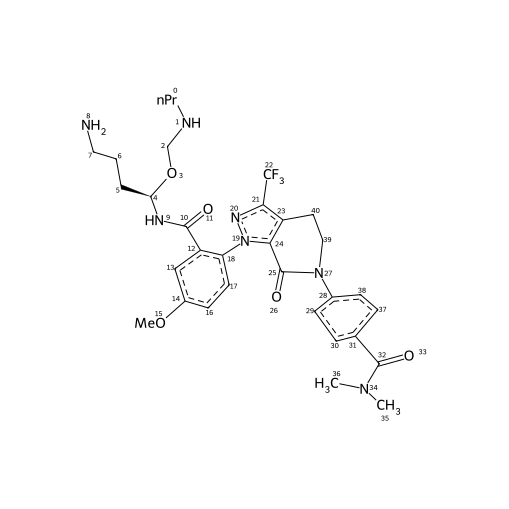 CCCNCO[C@H](CCCN)NC(=O)c1cc(OC)ccc1-n1nc(C(F)(F)F)c2c1C(=O)N(c1ccc(C(=O)N(C)C)cc1)CC2